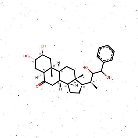 C[C@H](C(O)C(O)c1ccccc1)[C@H]1CC[C@H]2[C@@H]3CC(=O)[C@H]4C[C@H](O)[C@H](O)C[C@]4(C)[C@H]3CC[C@]12C